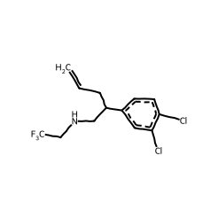 C=CCC(CNCC(F)(F)F)c1ccc(Cl)c(Cl)c1